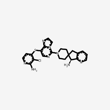 Nc1nccc(Sc2cnc(N3CCC4(CC3)Cc3cccnc3[C@H]4N)n3ccnc23)c1Cl